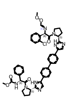 COO/C=N/[C@@H](C(=O)N1CCC[C@H]1c1ncc(-c2ccc(-c3ccc(-c4cnc([C@@H]5CCCN5C(=O)[C@H](NC(=O)OC)c5ccccc5)[nH]4)cc3)cc2)[nH]1)c1ccccc1Cl